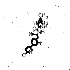 CC1C2C1[C@H]1C[C@@H]2N[C@@H]1C(=O)N[C@H](C#N)Cc1ccc(-c2ccc(Cl)nc2)cc1F